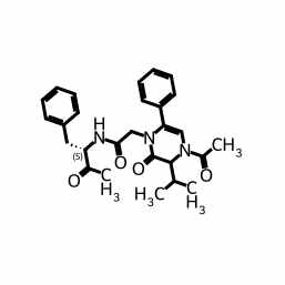 CC(=O)[C@H](Cc1ccccc1)NC(=O)CN1C(=O)C(C(C)C)N(C(C)=O)C=C1c1ccccc1